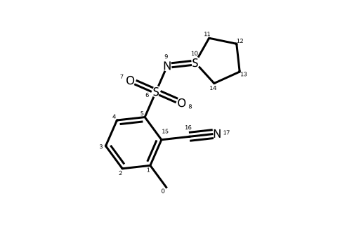 Cc1cccc(S(=O)(=O)N=S2CCCC2)c1C#N